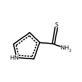 NC(=S)c1cc[nH]c1